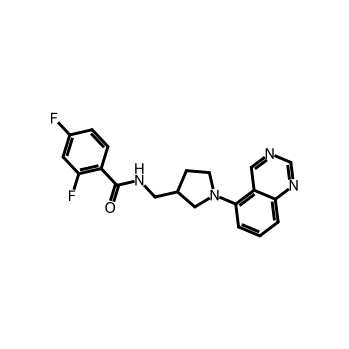 O=C(NCC1CCN(c2cccc3ncncc23)C1)c1ccc(F)cc1F